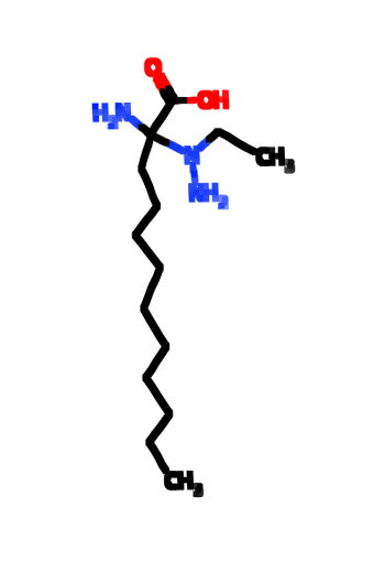 CCCCCCCCCCC(N)(C(=O)O)N(N)CC